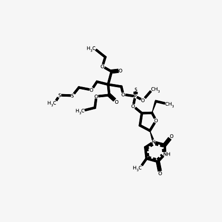 CCOC(=O)C(COCSSC)(COP(=S)(OC)OC1C[C@H](n2cc(C)c(=O)[nH]c2=O)O[C@@H]1CC)C(=O)OCC